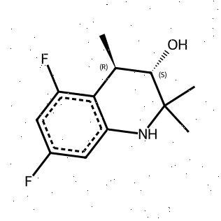 C[C@@H]1c2c(F)cc(F)cc2NC(C)(C)[C@H]1O